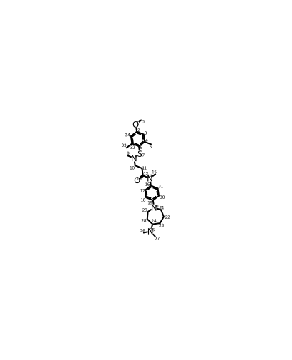 COc1cc(C)c(SN(C)CCC(=O)N(C)c2ccc(N3CCCC(N(C)C)CC3)cc2)c(C)c1